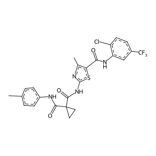 Cc1ccc(NC(=O)C2(C(=O)Nc3nc(C)c(C(=O)Nc4cc(C(F)(F)F)ccc4Cl)s3)CC2)cc1